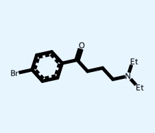 CCN(CC)CCCC(=O)c1ccc(Br)cc1